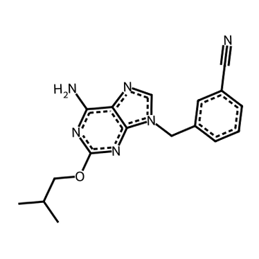 CC(C)COc1nc(N)c2ncn(Cc3cccc(C#N)c3)c2n1